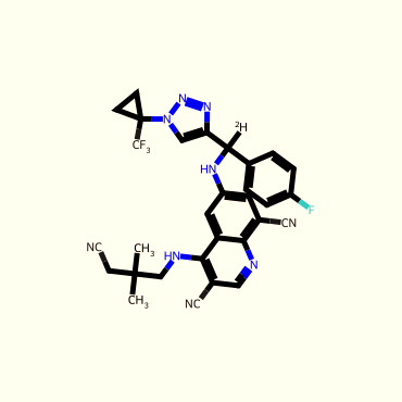 [2H]C(Nc1cc(C#N)c2ncc(C#N)c(NCC(C)(C)CC#N)c2c1)(c1ccc(F)cc1)c1cn(C2(C(F)(F)F)CC2)nn1